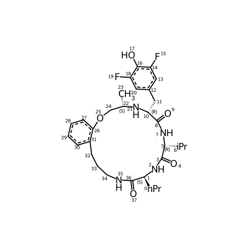 CCC[C@@H]1NC(=O)[C@@H](C(C)C)NC(=O)[C@@H](Cc2cc(F)c(O)c(F)c2)N[C@@H](C)COc2ccccc2CCCNC1=O